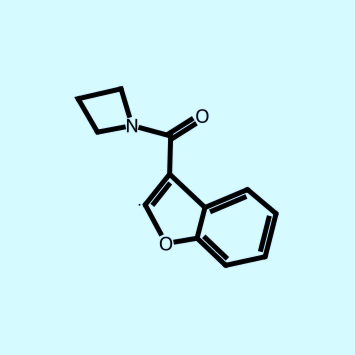 O=C(c1[c]oc2ccccc12)N1CCC1